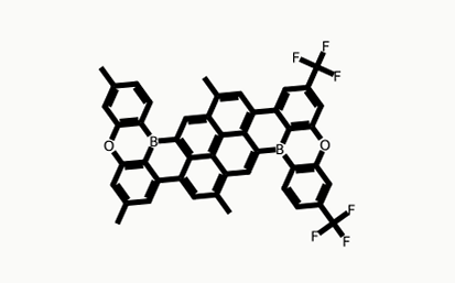 Cc1ccc2c(c1)Oc1cc(C)cc3c1B2c1cc2c(C)cc4c5c(cc6c(C)cc-3c1c6c25)B1c2ccc(C(F)(F)F)cc2Oc2cc(C(F)(F)F)cc-4c21